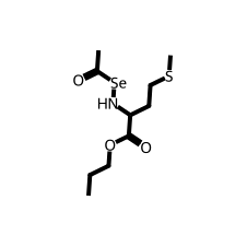 CCCOC(=O)C(CCSC)N[Se]C(C)=O